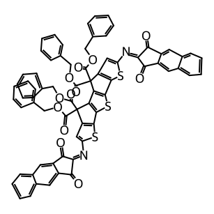 O=C(OCc1ccccc1)C1(C(=O)OCc2ccccc2)c2cc(N=c3c(=O)c4cc5ccccc5cc4c3=O)sc2-c2sc3c(c21)C(C(=O)OCc1ccccc1)(C(=O)OCc1ccccc1)c1cc(N=c2c(=O)c4cc5ccccc5cc4c2=O)sc1-3